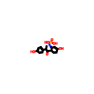 CC(C(=O)C1C=CC(O)=CC1=NP(=O)(O)O)c1ccc(O)cc1